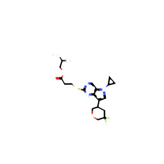 CCCCC(CC)COC(=O)CCSc1ncc2c(n1)c(C1COCC(F)(F)C1)cn2C1CC1